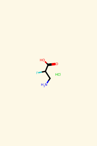 Cl.NCC(F)C(=O)O